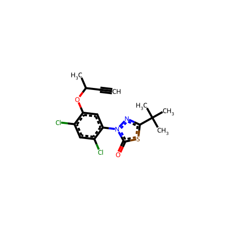 C#CC(C)Oc1cc(-n2nc(C(C)(C)C)sc2=O)c(Cl)cc1Cl